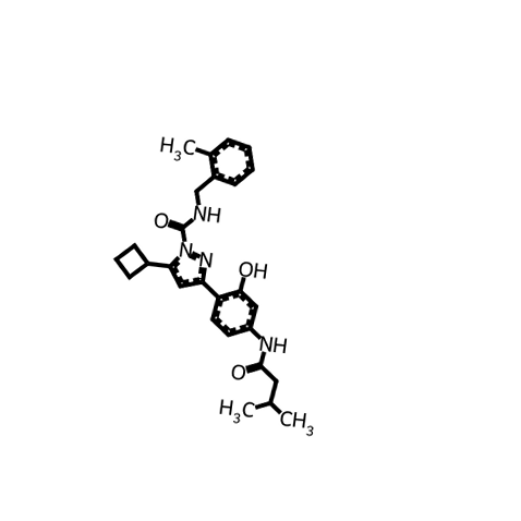 Cc1ccccc1CNC(=O)n1nc(-c2ccc(NC(=O)CC(C)C)cc2O)cc1C1CCC1